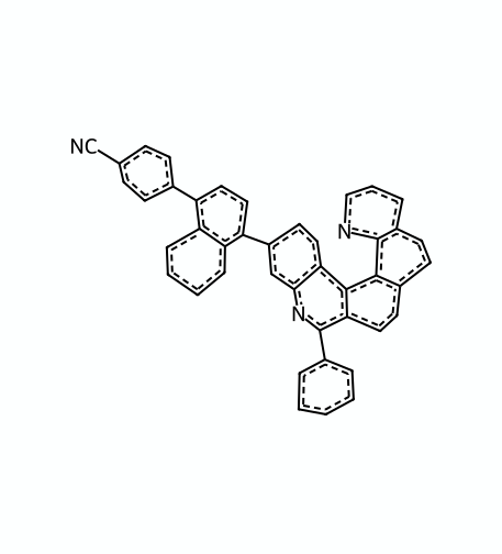 N#Cc1ccc(-c2ccc(-c3ccc4c(c3)nc(-c3ccccc3)c3ccc5ccc6cccnc6c5c34)c3ccccc23)cc1